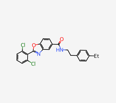 CCc1ccc(CCNC(=O)c2ccc3oc(-c4c(Cl)cccc4Cl)nc3c2)cc1